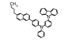 CCCCc1ccc2cc(-c3ccc(N(c4ccccc4)c4cccc(-n5c6ccccc6c6ccccc65)c4)cc3)ccc2c1